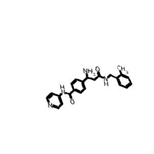 Cc1ccccc1CNC(=O)CC(N)c1ccc(C(=O)Nc2ccncc2)cc1